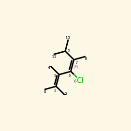 CC(C)=C(C)/C(Cl)=C(/C)C(C)C